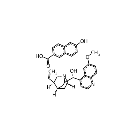 C=C[C@H]1C[N@]2CC[C@H]1C[C@H]2[C@H](O)c1ccnc2ccc(OC)cc12.O=C(O)c1ccc2cc(O)ccc2c1